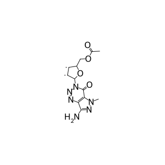 CC(=O)OCC1[CH][CH]C(n2nnc3c(N)nn(C)c3c2=O)O1